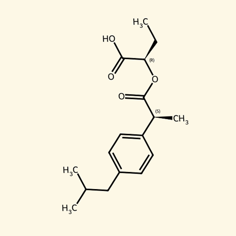 CC[C@@H](OC(=O)[C@@H](C)c1ccc(CC(C)C)cc1)C(=O)O